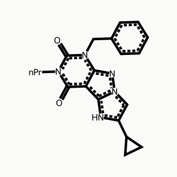 CCCn1c(=O)c2c(nn3cc(C4CC4)[nH]c23)n(Cc2ccccc2)c1=O